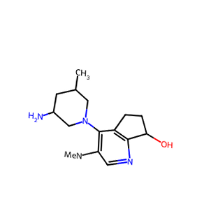 CNc1cnc2c(c1N1CC(C)CC(N)C1)CCC2O